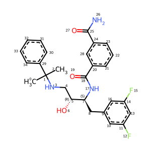 CC(C)(NC[C@@H](O)[C@H](Cc1cc(F)cc(F)c1)NC(=O)c1cccc(C(N)=O)c1)c1ccccc1